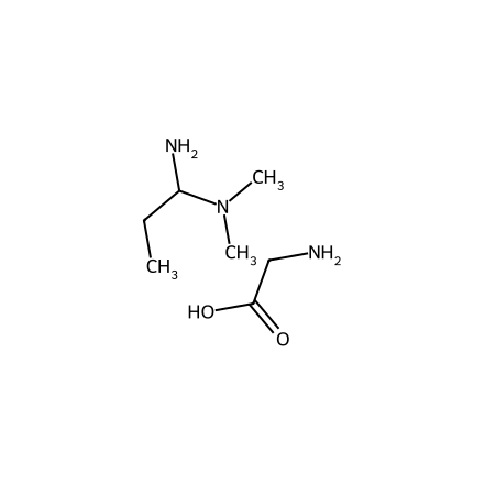 CCC(N)N(C)C.NCC(=O)O